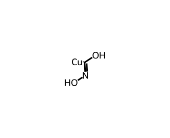 OC=NO.[Cu]